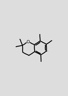 Cc1[c]c(C)c2c(c1C)OC(C)(C)CC2